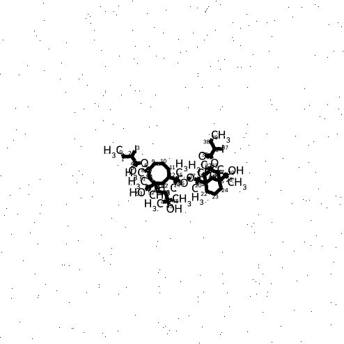 CCC(I)C(=O)OC1(C)CCCC(C(C)(C)OOC(C)(C)C23CCCC(C(C)(C)O)(CC(C)(OC(=O)C(I)CC)C2)C3)CC(CCC(C)(C)O)(C(C)(C)O)C1